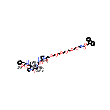 CC[C@H](C)[C@@H]([C@@H](CC(=O)N1CCC[C@H]1[C@H](OC)[C@@H](C)C(=O)N[C@@H](Cc1ccccc1)C(=O)OC(C)(C)C)OC)N(C)C(=O)[C@@H](NC(=O)[C@]1(C)CCCN1C(=O)CCOCCOCCOCCOCCOCCOCCNC(=O)OCC1c2ccccc2-c2ccccc21)C(C)C